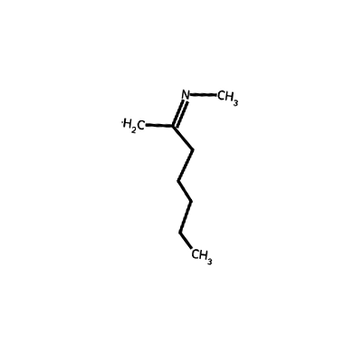 [CH2]/C(CCCCC)=N/C